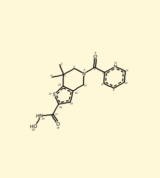 CC1(C)CN(C(=O)c2ccccn2)Cc2cc(C(=O)NO)sc21